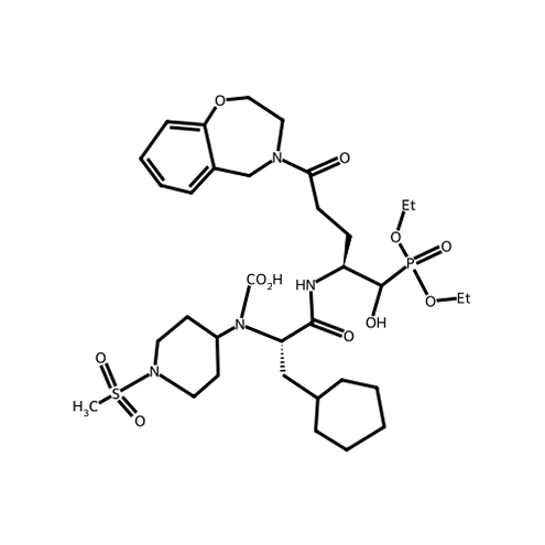 CCOP(=O)(OCC)C(O)[C@H](CCC(=O)N1CCOc2ccccc2C1)NC(=O)[C@H](CC1CCCCC1)N(C(=O)O)C1CCN(S(C)(=O)=O)CC1